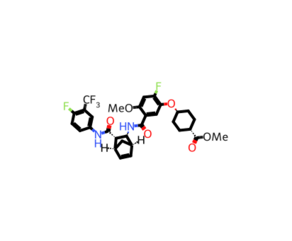 COc1cc(F)c(O[C@H]2CC[C@@H](C(=O)OC)CC2)cc1C(=O)N[C@H]1[C@@H](C(=O)Nc2ccc(F)c(C(F)(F)F)c2)[C@@H]2C=C[C@H]1C2